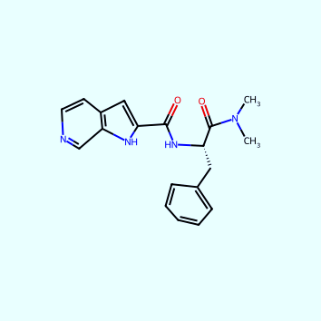 CN(C)C(=O)[C@H](Cc1ccccc1)NC(=O)c1cc2ccncc2[nH]1